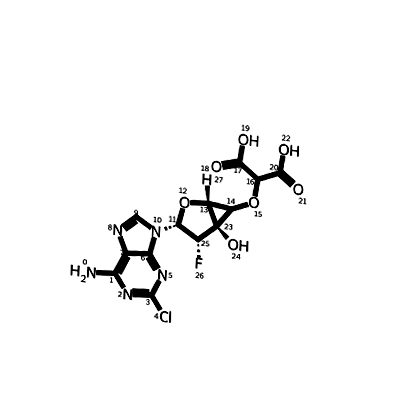 Nc1nc(Cl)nc2c1ncn2[C@@H]1O[C@@H]2C(OC(C(=O)O)C(=O)O)[C@]2(O)[C@@H]1F